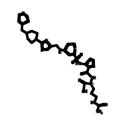 N=C(N)NCCC[C@H](NC(=O)c1sccc1NS(=O)(=O)c1cccc(NCc2csc(N3CCN(Cc4ccncc4)CC3)n2)c1)C(=O)O